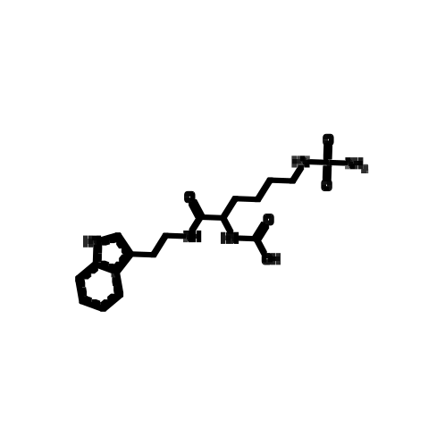 NS(=O)(=O)NCCCCC(NC(=O)O)C(=O)NCCc1c[nH]c2ccccc12